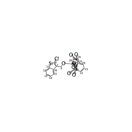 O=S1(=O)ON(OCc2c(Cl)sc3ccccc23)OS(=O)(=O)c2cccc3c1cccc23